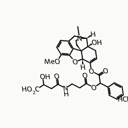 COc1ccc2c3c1O[C@H]1C(OC(=O)C(OC(=O)CCNC(=O)CC(O)C(=O)O)c4ccccc4)=CC[C@@]4(O)[C@@H](C2)N(C)CC[C@]314.Cl